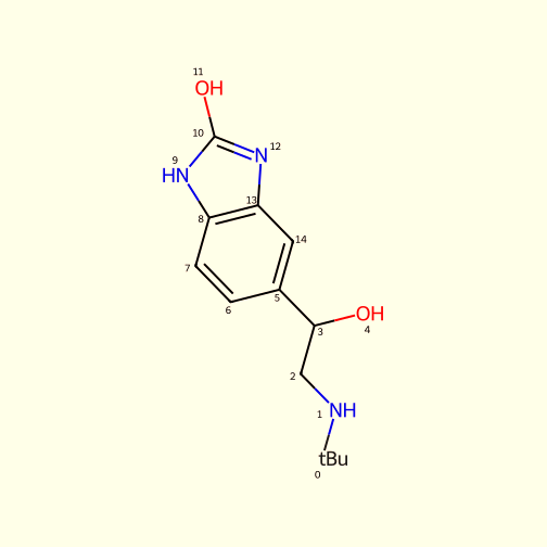 CC(C)(C)NCC(O)c1ccc2[nH]c(O)nc2c1